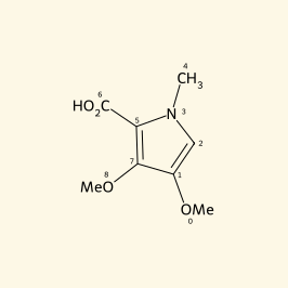 COc1cn(C)c(C(=O)O)c1OC